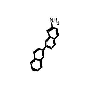 Nc1ccc2ccc(-c3ccc4ccccc4c3)cc2c1